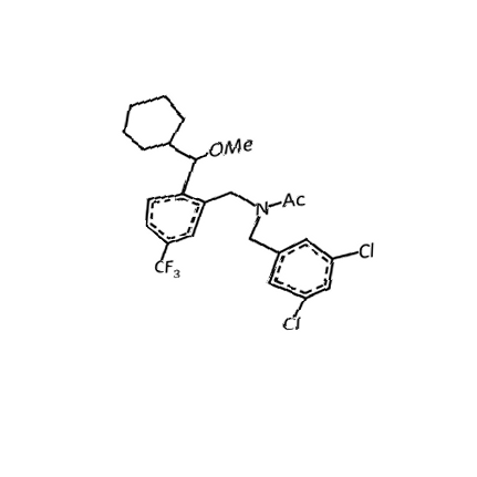 COC(c1ccc(C(F)(F)F)cc1CN(Cc1cc(Cl)cc(Cl)c1)C(C)=O)C1CCCCC1